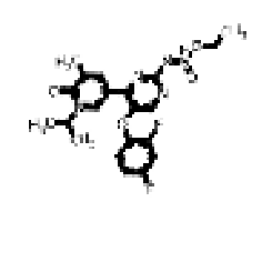 CCO[SH](=O)=Nc1ncc(Oc2ccc(F)cc2F)c(-c2cc(C)c(=O)n(C(C)C)c2)n1